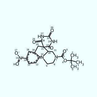 CC(C)(C)OC(=O)N1CCN2c3ccc([N+](=O)[O-])cc3CC3(C(=O)NC(=O)NC3=O)C2C1